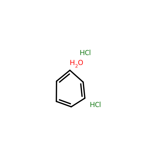 Cl.Cl.O.c1ccccc1